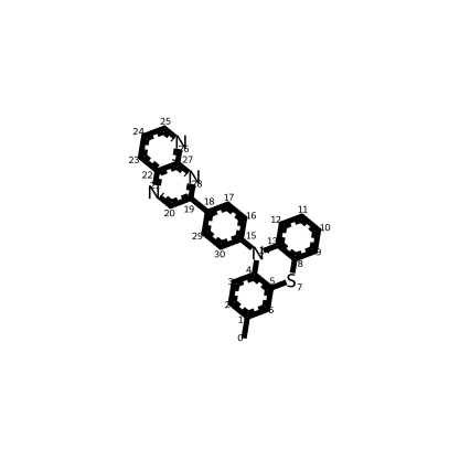 Cc1ccc2c(c1)Sc1ccccc1N2c1ccc(-c2cnc3cccnc3n2)cc1